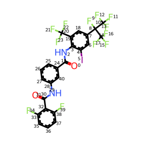 O=C(Nc1c(I)cc(C(F)(C(F)(F)F)C(F)(F)F)cc1C(F)(F)F)c1cccc(NC(=O)c2c(F)cccc2F)c1